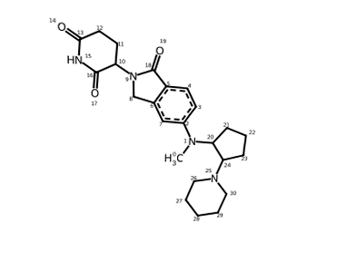 CN(c1ccc2c(c1)CN(C1CCC(=O)NC1=O)C2=O)C1CCCC1N1CCCCC1